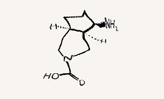 N[C@@H]1CC[C@@H]2CN(C(=O)O)C[C@@H]21